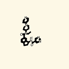 CCN(C(=O)c1ccc2c(c1)C(NC(=O)c1cncnc1)CC2)C1CCN(c2ccncc2)CC1